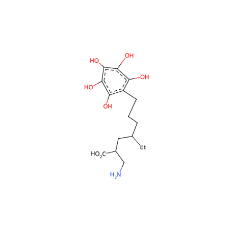 CCC(CCCc1c(O)c(O)c(O)c(O)c1O)CC(CN)C(=O)O